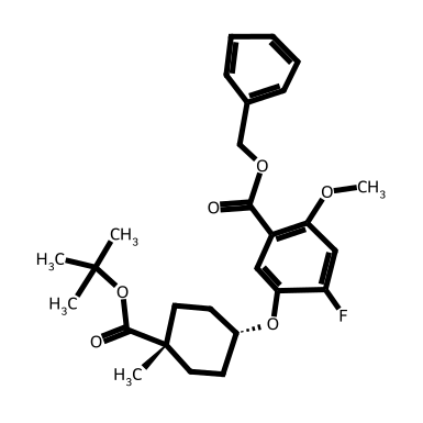 COc1cc(F)c(O[C@H]2CC[C@@](C)(C(=O)OC(C)(C)C)CC2)cc1C(=O)OCc1ccccc1